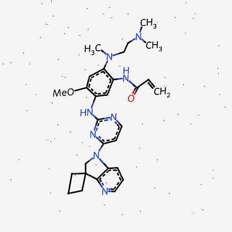 C=CC(=O)Nc1cc(Nc2nccc(N3CC4(CCC4)c4ncccc43)n2)c(OC)cc1N(C)CCN(C)C